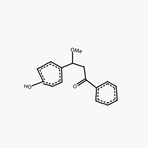 COC(CC(=O)c1ccccc1)c1ccc(O)cc1